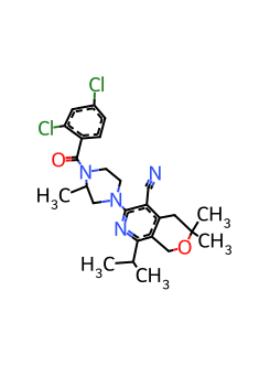 CC(C)c1nc(N2CCN(C(=O)c3ccc(Cl)cc3Cl)C(C)C2)c(C#N)c2c1COC(C)(C)C2